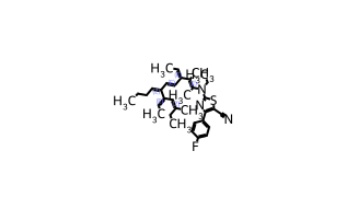 C/C=C(\C=C(\C)CC)C(=C\CCC)/C=C/C(=C\C)C(/C)=C(\C)N(CC)c1nc(-c2ccc(F)cc2)c(C#N)s1